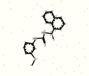 COc1cccc(NC(=S)N[C@H](C)c2cccc3ccccc23)c1